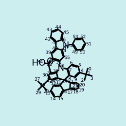 CC(C)(C)c1ccc2c(c1)C1(c3ccccc3-c3ccccc31)c1cc(C(C)(C)C)cc(C(=O)O)c1N2c1ccc2c3ccccc3n(-c3ccccc3)c2c1